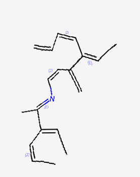 C=C/C=C\C(=C/C)C(=C)/C=C\N=C(/C)C(=CC)/C=C\C